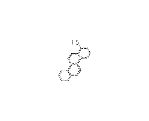 Sc1cccc2c1ccc1c3ccccc3ccc21